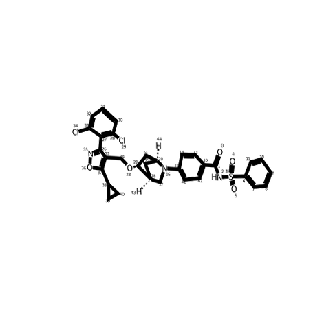 O=C(NS(=O)(=O)c1ccccc1)c1ccc(N2C[C@@H]3C[C@H]2C[C@H]3OCc2c(-c3c(Cl)cccc3Cl)noc2C2CC2)cc1